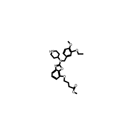 CCOc1cc(CN(c2nc3cccc(OCCCC(=O)OC)c3o2)C2CCNCC2)ccc1OC